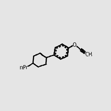 C#COc1ccc(C2CCC(CCC)CC2)cc1